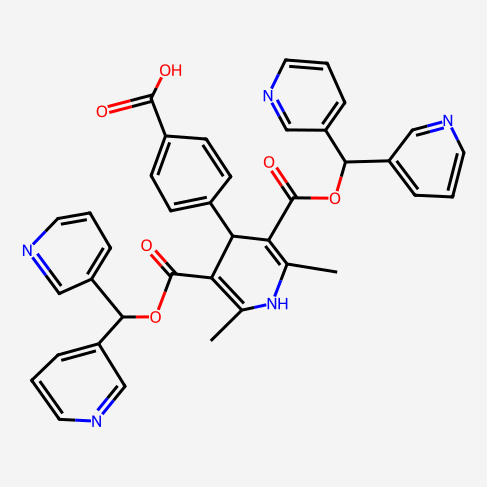 CC1=C(C(=O)OC(c2cccnc2)c2cccnc2)C(c2ccc(C(=O)O)cc2)C(C(=O)OC(c2cccnc2)c2cccnc2)=C(C)N1